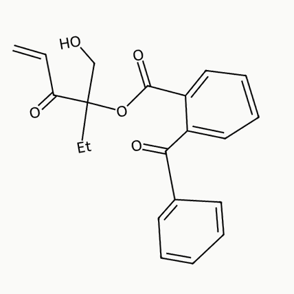 C=CC(=O)C(CC)(CO)OC(=O)c1ccccc1C(=O)c1ccccc1